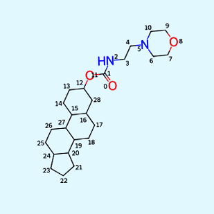 O=C(NCCN1CCOCC1)OC1CCC2C(CCC3C4CCCC4CCC23)C1